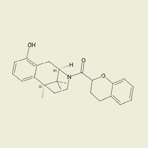 CC1(C)[C@H]2Cc3c(O)cccc3[C@]1(C)CCN2C(=O)C1CCc2ccccc2O1